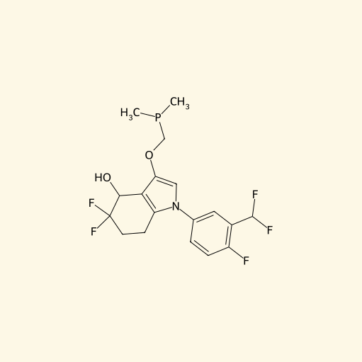 CP(C)COc1cn(-c2ccc(F)c(C(F)F)c2)c2c1C(O)C(F)(F)CC2